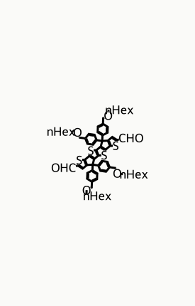 CCCCCCOCc1ccc(C2(c3ccc(COCCCCCC)cc3)c3cc(C=O)sc3-c3sc4c5c(sc4c32)-c2sc(C=O)cc2C5(c2ccc(COCCCCCC)cc2)c2ccc(COCCCCCC)cc2)cc1